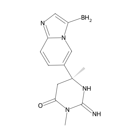 Bc1cnc2ccc([C@]3(C)CC(=O)N(C)C(=N)N3)cn12